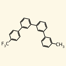 Cc1cccc(-c2cccc(-c3cccc(-c4ccc(C(F)(F)F)cc4)c3)c2)c1